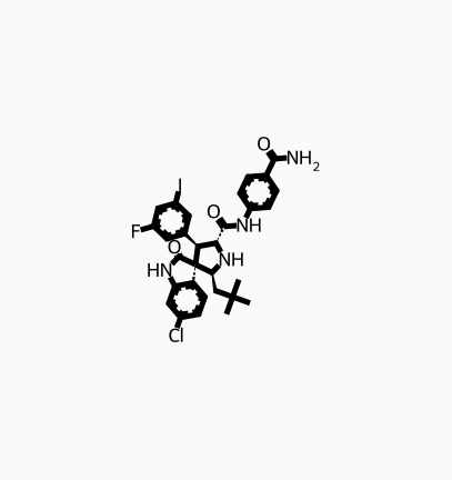 CC(C)(C)C[C@@H]1N[C@@H](C(=O)Nc2ccc(C(N)=O)cc2)[C@H](c2cc(F)cc(I)c2)[C@]12C(=O)Nc1cc(Cl)ccc12